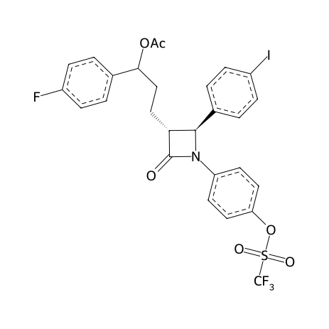 CC(=O)OC(CC[C@H]1C(=O)N(c2ccc(OS(=O)(=O)C(F)(F)F)cc2)[C@@H]1c1ccc(I)cc1)c1ccc(F)cc1